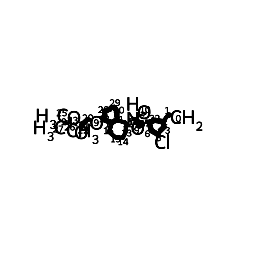 C=Cc1cc(Cl)cc(S(=O)(=O)NC2CCCCc3c(OCC(=O)OC(C)(C)C)cccc32)c1